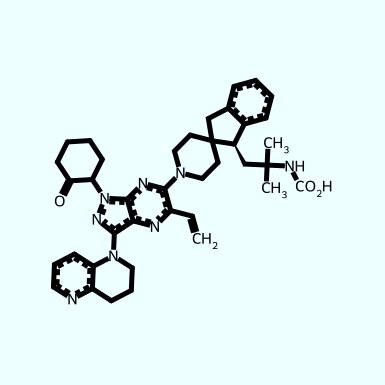 C=Cc1nc2c(N3CCCc4ncccc43)nn(C3CCCCC3=O)c2nc1N1CCC2(CC1)Cc1ccccc1[C@H]2CC(C)(C)NC(=O)O